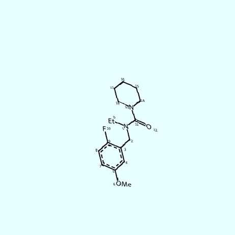 CCN(Cc1cc(OC)ccc1F)C(=O)N1CCCCC1